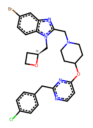 Clc1ccc(Cc2nccc(OC3CCN(Cc4nc5cc(Br)ccc5n4C[C@@H]4CCO4)CC3)n2)cc1